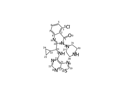 O=c1c2c(Cl)cccc2nc(C(Nc2ncnc3scnc23)C2CC2)n1N1CCNCC1